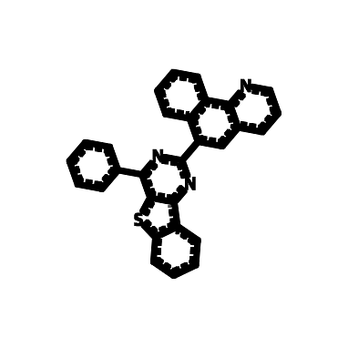 c1ccc(-c2nc(-c3cc4cccnc4c4ccccc34)nc3c2sc2ccccc23)cc1